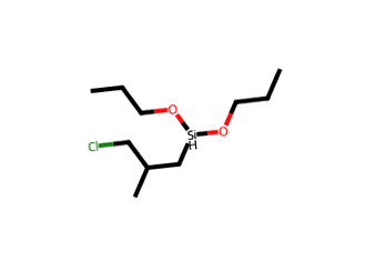 CCCO[SiH](CC(C)CCl)OCCC